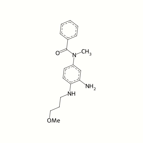 COCCCNc1ccc(N(C)C(=O)c2ccccc2)cc1N